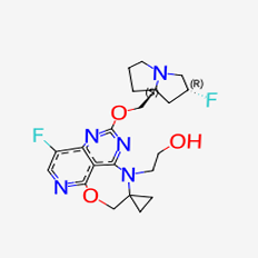 OCCN1c2nc(OC[C@@]34CCCN3C[C@H](F)C4)nc3c(F)cnc(c23)OCC12CC2